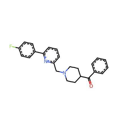 O=C(c1ccccc1)C1CCN(Cc2cccc(-c3ccc(F)cc3)n2)CC1